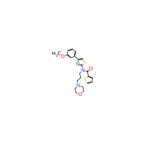 COc1cccc(-c2csc(N(CCCN3CCOCC3)C(=O)c3cccs3)n2)c1